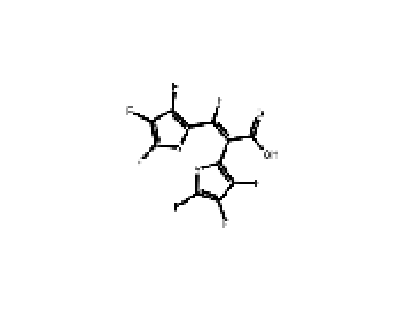 O=C(O)C(=C(F)c1sc(F)c(F)c1F)c1sc(F)c(F)c1F